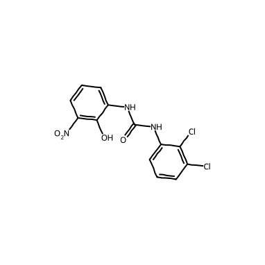 O=C(Nc1cccc([N+](=O)[O-])c1O)Nc1cccc(Cl)c1Cl